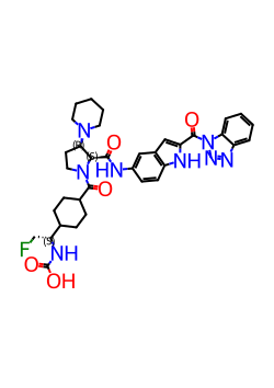 O=C(O)N[C@H](CF)C1CCC(C(=O)N2CC[C@@H](N3CCCCC3)[C@H]2C(=O)Nc2ccc3[nH]c(C(=O)n4nnc5ccccc54)cc3c2)CC1